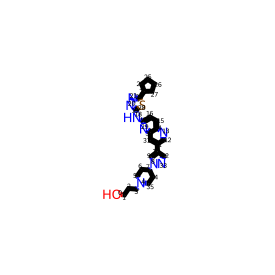 OCCCN1CCC(n2cc(-c3cnc4ccc(Nc5nnc(C6CCCC6)s5)nc4c3)cn2)CC1